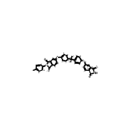 Cc1ccc(N2C(=O)c3ccc(Oc4ccc(C(C)(C)c5ccc(Oc6ccc7c(c6)C(=O)NC7=O)cc5)cc4)cc3C2=O)cc1